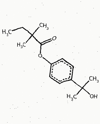 CCC(C)(C)C(=O)Oc1ccc(C(C)(C)O)cc1